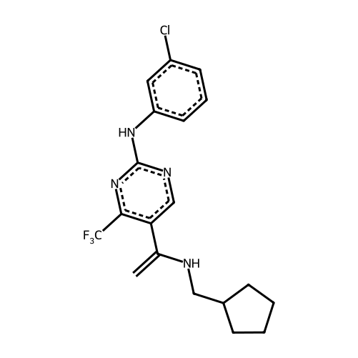 C=C(NCC1CCCC1)c1cnc(Nc2cccc(Cl)c2)nc1C(F)(F)F